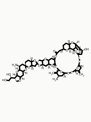 C=C1C[C@@H]2CC[C@]34C[C@@H](O)C(O3)[C@@H]3O[C@H]5CC[C@H](CC(=O)O[C@@H]6CC7OC8C[C@@]9(C[C@@H]%10O[C@@]%11(CC[C@@H]%10O9)C[C@H](N)[C@@H]9O[C@@H]%10[C@@H]([C@@H](O)CO)CO[C@@H]%10C[C@@H]9O%11)O[C@@H]8C[C@@H]7O[C@H]6C[C@H]6O[C@@H](CC[C@@H]1O2)C[C@@H](N)C6=C)O[C@@H]5[C@H](O4)[C@@H]3I